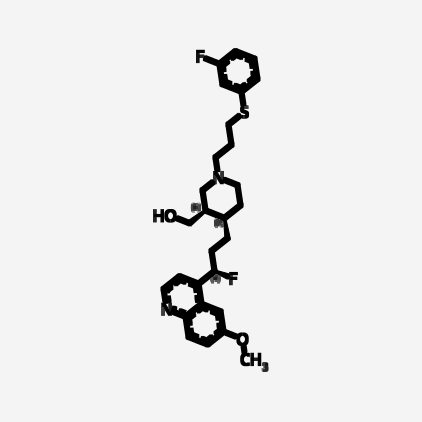 COc1ccc2nccc([C@H](F)CC[C@@H]3CCN(CCCSc4cccc(F)c4)C[C@@H]3CO)c2c1